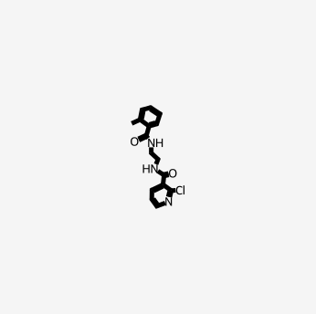 Cc1ccccc1C(=O)NCCNC(=O)c1cccnc1Cl